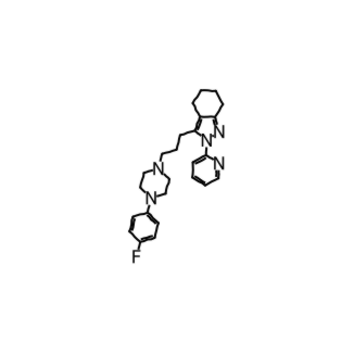 Fc1ccc(N2CCN(CCCc3c4c(nn3-c3ccccn3)CCCC4)CC2)cc1